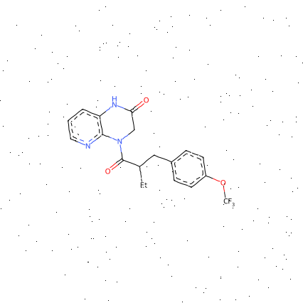 CCC(Cc1ccc(OC(F)(F)F)cc1)C(=O)N1CC(=O)Nc2cccnc21